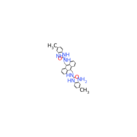 Cc1ccc(NC(=O)NCc2c3ccccc3c(CNC(=O)Nc3ccc(C)cc3N)c3ccccc23)c(N)c1